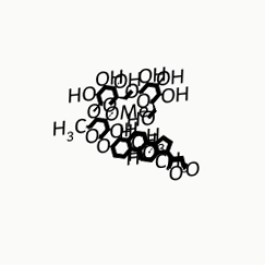 CO[C@@H]1[C@@H](O)[C@@H](O[C@H]2CC[C@@]3(C)[C@H](CC[C@@H]4[C@@H]3CC[C@]3(C)C(C5=CC(=O)OC5)CC[C@]43O)C2)O[C@@H](C)[C@H]1O[C@@H]1O[C@H](CO[C@@H]2O[C@H](CO)[C@@H](O)[C@H](O)[C@H]2O)[C@@H](O)[C@H](O)[C@H]1O